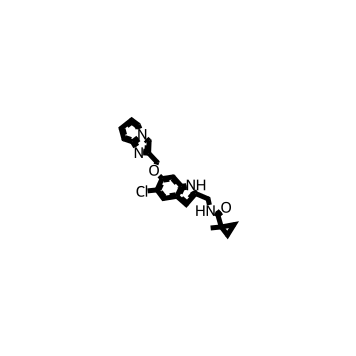 CC1(C(=O)NCc2cc3cc(Cl)c(OCc4cn5ccccc5n4)cc3[nH]2)CC1